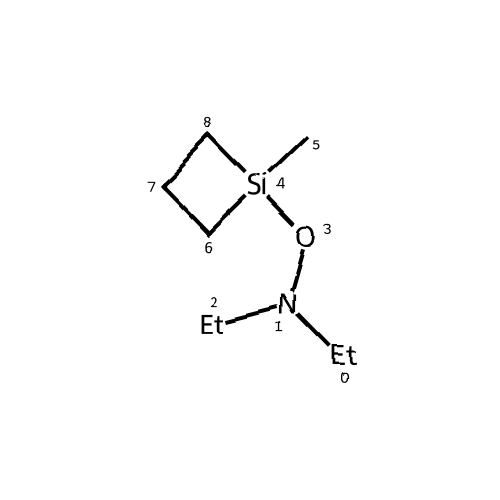 CCN(CC)O[Si]1(C)CCC1